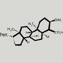 CCC[C@@H](C)[C@H]1CC[C@H]2[C@@H]3CC[C@@H]4C(C(=O)O)[C@H](OC(C)=O)CC[C@]4(C)[C@H]3CC[C@]12C